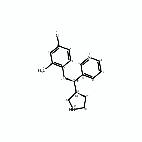 Cc1cc(Cl)ccc1O[C@@H](c1cccnc1)[C@H]1CCNC1